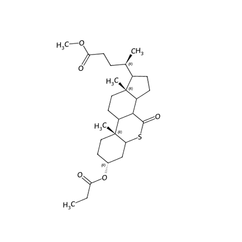 CCC(=O)O[C@@H]1CC[C@@]2(C)C(C1)SC(=O)C1C2CC[C@@]2(C)C1CCC2[C@H](C)CCC(=O)OC